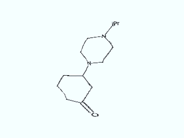 CC(C)N1CCN(C2CCCC(=O)C2)CC1